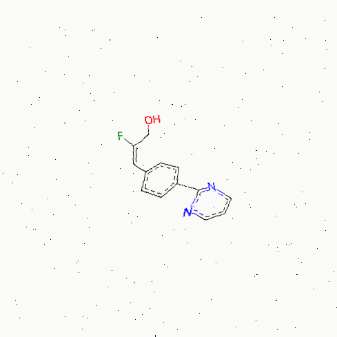 OC/C(F)=C\c1ccc(-c2ncccn2)cc1